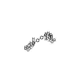 CCCN(C(=O)[C@@H](NC(=O)OC)C(C)C)[C@@H](C)c1ncc(-c2ccc(-c3ccc(-c4cnc([C@@H]5[C@H]6CC[C@H](C6)N5C(=O)[C@@H](NC(=O)OC)C(C)C)[nH]4)cc3)cc2)[nH]1